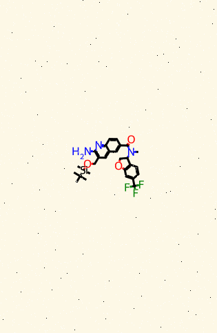 CN(C(=O)c1ccc2nc(N)c(CO[Si](C)(C)C(C)(C)C)cc2c1)C1COc2cc(C(F)(F)F)ccc21